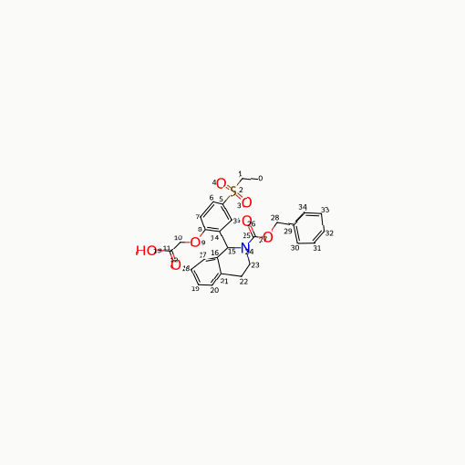 CCS(=O)(=O)c1ccc(OCC(=O)O)c(C2c3ccccc3CCN2C(=O)OCc2ccccc2)c1